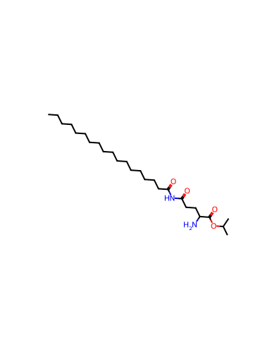 CCCCCCCCCCCCCCCCCC(=O)NC(=O)CCC(N)C(=O)OC(C)C